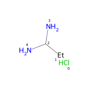 Cl.[CH2]CC(N)N